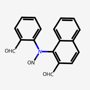 O=Cc1ccccc1N(N=O)c1c(C=O)ccc2ccccc12